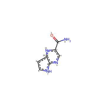 NC(=O)c1cnc2[nH]ccc2n1